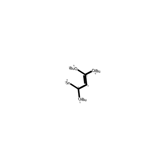 CC(C)COC(=C[CH]([Sn])OCC(C)C)OCC(C)C